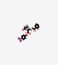 O=C(OCc1ccc([N+](=O)[O-])cc1)C1=C(SCC(=O)c2ccccc2)S[C@@H]2CC(=O)N12